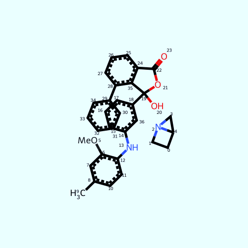 C1CN2CC12.COc1cc(C)ccc1Nc1cccc(C2(O)OC(=O)c3cccc(-c4ccccc4)c32)c1